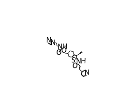 C#Cc1c(NC(=O)/C=C/c2cccnc2)sc2c1CCC(COC(=O)NCCn1ccnc1)C2